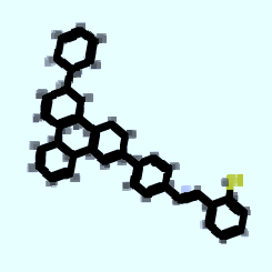 Sc1ccccc1/C=C/c1ccc(C2=CC3=C(CC2)C2=C(C=CC(C4C=CC=CC4)C2)C2C=CC=CC32)cc1